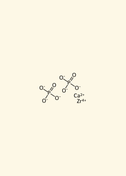 O=P([O-])([O-])[O-].O=P([O-])([O-])[O-].[Ca+2].[Zr+4]